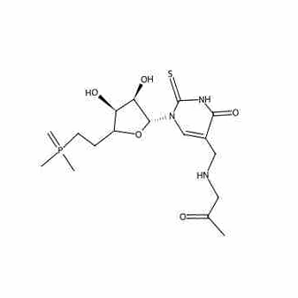 C=P(C)(C)CCC1O[C@@H](n2cc(CNCC(C)=O)c(=O)[nH]c2=S)[C@H](O)[C@@H]1O